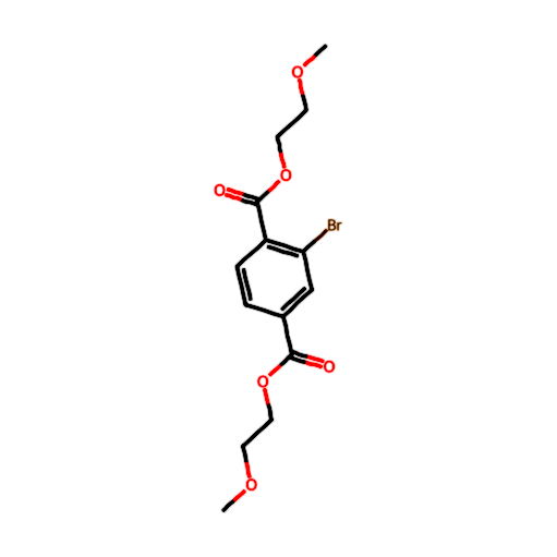 COCCOC(=O)c1ccc(C(=O)OCCOC)c(Br)c1